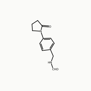 O=[C]NCc1ccc(N2CCCC2=O)cc1